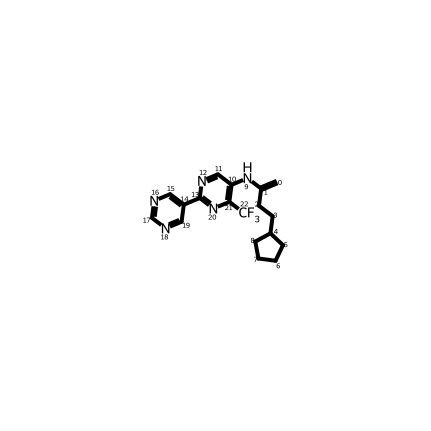 C=C(CCC1CCCC1)Nc1cnc(-c2cncnc2)nc1C(F)(F)F